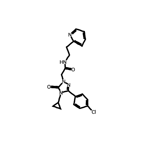 O=C(Cn1nc(-c2ccc(Cl)cc2)n(C2CC2)c1=O)NCCc1ccccn1